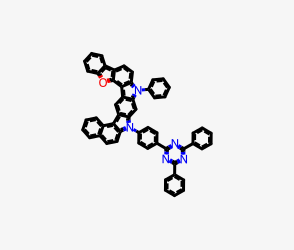 c1ccc(-c2nc(-c3ccccc3)nc(-c3ccc(-n4c5cc6c(cc5c5c7ccccc7ccc54)c4c5oc7ccccc7c5ccc4n6-c4ccccc4)cc3)n2)cc1